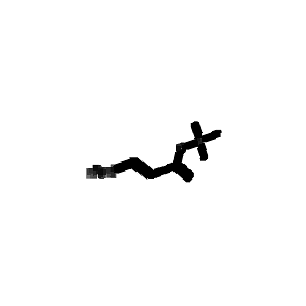 [CH2]CCCCCCC(=C)O[Si](C)(C)C